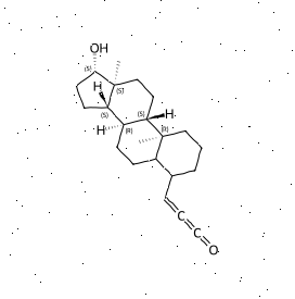 C[C@]12CC[C@H]3[C@@H](CCC4C(C=C=C=O)CCC[C@@]43C)[C@@H]1CC[C@@H]2O